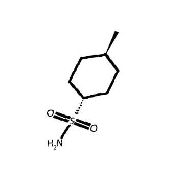 C[C@H]1CC[C@H](S(N)(=O)=O)CC1